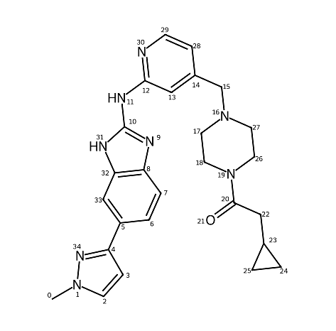 Cn1ccc(-c2ccc3nc(Nc4cc(CN5CCN(C(=O)CC6CC6)CC5)ccn4)[nH]c3c2)n1